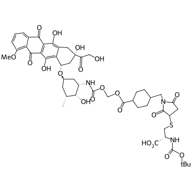 COc1cccc2c1C(=O)c1c(O)c3c(c(O)c1C2=O)C[C@@](O)(C(=O)CO)C[C@@H]3O[C@@H]1C[C@@H](C)[C@@H](O)[C@@H](NC(=O)OCOC(=O)C2CCC(CN3C(=O)CC(SC[C@H](NC(=O)OC(C)(C)C)C(=O)O)C3=O)CC2)C1